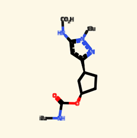 CCC(C)NC(=O)O[C@@H]1CC[C@H](c2cc(NC(=O)O)n(C(C)(C)C)n2)C1